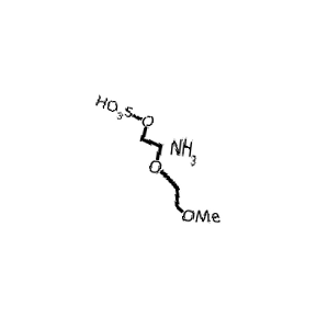 COCCOCCOS(=O)(=O)O.N